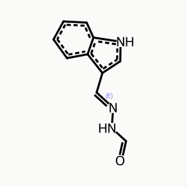 O=CN/N=C/c1c[nH]c2ccccc12